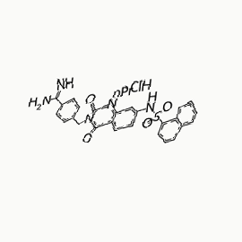 CCCn1c(=O)n(Cc2ccc(C(=N)N)cc2)c(=O)c2ccc(NS(=O)(=O)c3cccc4ccccc34)cc21.Cl